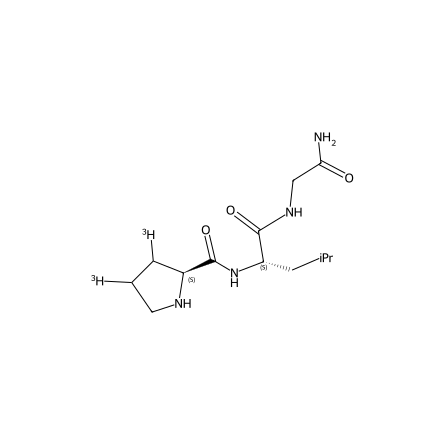 [3H]C1CN[C@H](C(=O)N[C@@H](CC(C)C)C(=O)NCC(N)=O)C1[3H]